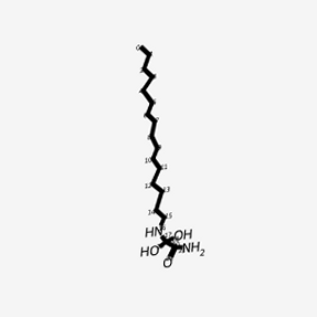 CCCCCCCCCCCCCCCCNC(O)(O)C(N)=O